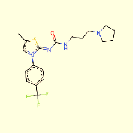 Cc1cn(-c2ccc(C(F)(F)F)cc2)/c(=N/C(=O)NCCCN2CCCC2)s1